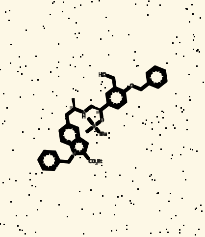 CCOC(=O)c1cc2cc(C[C@@H](C)NC[C@H](O[Si](C)(C)C(C)(C)C)c3ccc(OCc4ccccc4)c(CO)c3)ccc2n1Cc1ccccc1